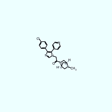 CN1C[C@@H]2C[C@H]1CN2C(=O)Cn1cnc(-c2ccc(Cl)cc2)c1-c1ccncc1